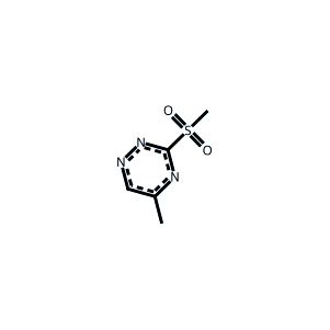 Cc1cnnc(S(C)(=O)=O)n1